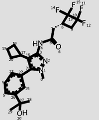 Cn1nc(NC(=O)C[C@H]2CC(F)(F)C2(F)F)c(C2CCC2)c1-c1cccc(C(C)(C)O)c1